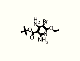 CCOc1nc(N)c(C(=O)OC(C)(C)C)c(N)c1Br